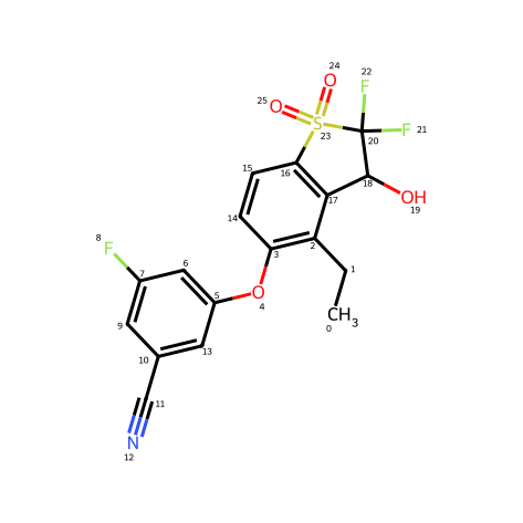 CCc1c(Oc2cc(F)cc(C#N)c2)ccc2c1C(O)C(F)(F)S2(=O)=O